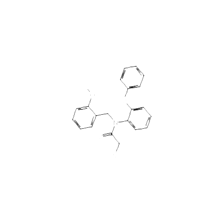 COc1ccccc1CN(C(=O)CCl)c1ccccc1Oc1ccccc1